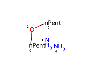 CCCCCOCCCCC.N.N